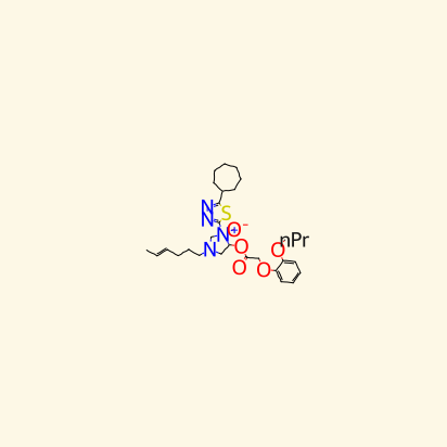 CC=CCCCN1CC(OC(=O)COc2ccccc2OCCC)[N+]([O-])(c2nnc(C3CCCCCC3)s2)C1